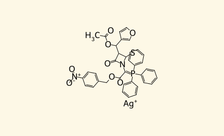 CC(=O)OC(c1ccoc1)C1C(=O)N(C(C(=O)OCc2ccc([N+](=O)[O-])cc2)=P(c2ccccc2)(c2ccccc2)c2ccccc2)C1[S-].[Ag+]